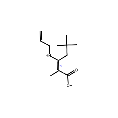 C=CCN/C(CC(C)(C)C)=C(\C)C(=O)O